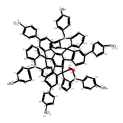 CCCCc1ccc(N2c3ccccc3C3(c4cc(-c5ccc([N+](=O)[O-])cc5)ccc4-c4c3c3c(c5c4C4(c6cc(-c7ccc([N+](=O)[O-])cc7)ccc6-5)c5ccccc5N(c5ccc(CCCC)cc5)c5ccccc54)C4(c5cc(-c6ccc([N+](=O)[O-])cc6)ccc5-3)c3ccccc3N(c3ccc(CCCC)cc3)c3ccccc34)c3ccccc32)cc1